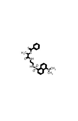 CC(SC(=S)c1ccccc1)C(=O)NCCNS(=O)(=O)c1cccc2c(N(C)C)cccc12